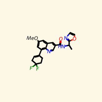 COc1cc(C2=CCC(F)(F)CC2)c2ncc(C(=O)NC(C)c3ncco3)cc2c1